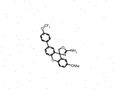 COc1ccc2c(c1)C1(COC(N)=N1)c1cc(-c3ccc(OC(F)(F)F)cc3)ccc1O2